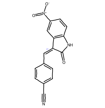 N#Cc1ccc(/C=C2\C(=O)Nc3ccc([N+](=O)[O-])cc32)cc1